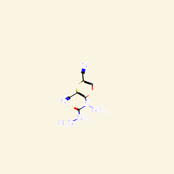 N#CC1=COC(N(N)C(=O)NN)=C(C#N)S1